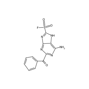 Nc1nc(C(=O)c2ccccc2)nc2nc(S(=O)(=O)F)[nH]c12